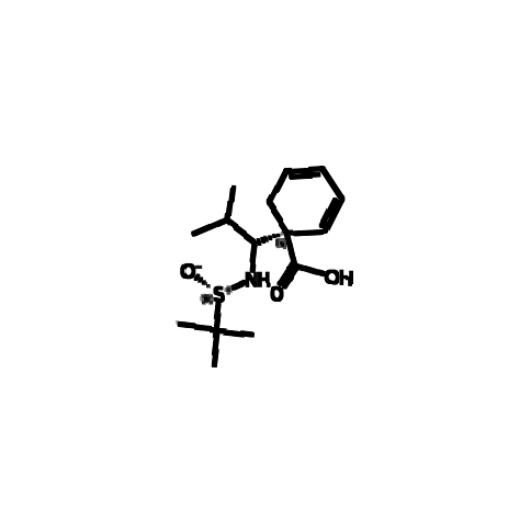 CC(C)C(N[S@@+]([O-])C(C)(C)C)[C@@]1(C(=O)O)C=CC=CC1